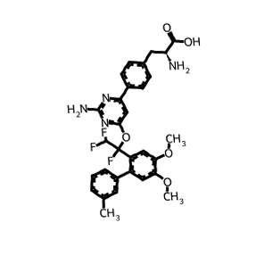 COc1cc(-c2cccc(C)c2)c(C(F)(Oc2cc(-c3ccc(C[C@H](N)C(=O)O)cc3)nc(N)n2)C(F)F)cc1OC